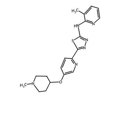 Cc1cccnc1Nc1nnc(-c2ccc(OC3CCN(C)CC3)cn2)s1